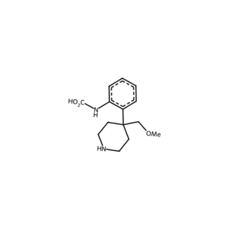 COCC1(c2ccccc2NC(=O)O)CCNCC1